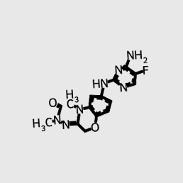 CN(C=O)/N=C1/COc2ccc(Nc3ncc(F)c(N)n3)cc2N1C